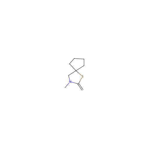 C=C1SC2(CCCC2)CN1C